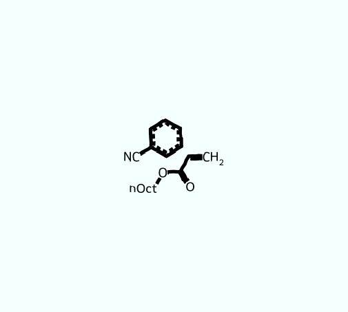 C=CC(=O)OCCCCCCCC.N#Cc1ccccc1